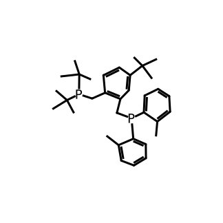 Cc1ccccc1P(Cc1cc(C(C)(C)C)ccc1CP(C(C)(C)C)C(C)(C)C)c1ccccc1C